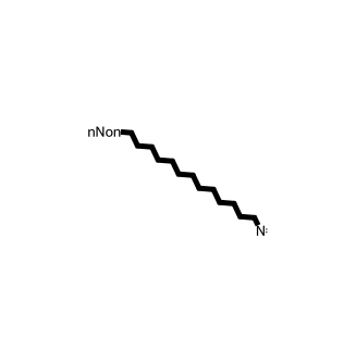 CCCCCCCCCCCCCCCCCCCCCC[N]